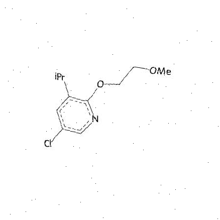 COCCOc1ncc(Cl)cc1C(C)C